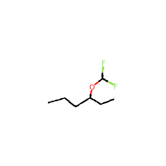 CCCC(CC)OC(F)F